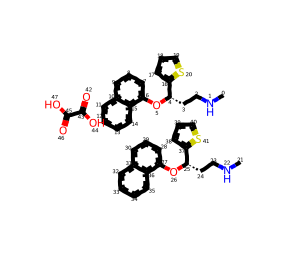 CNCC[C@H](Oc1cccc2ccccc12)c1cccs1.CNCC[C@H](Oc1cccc2ccccc12)c1cccs1.O=C(O)C(=O)O